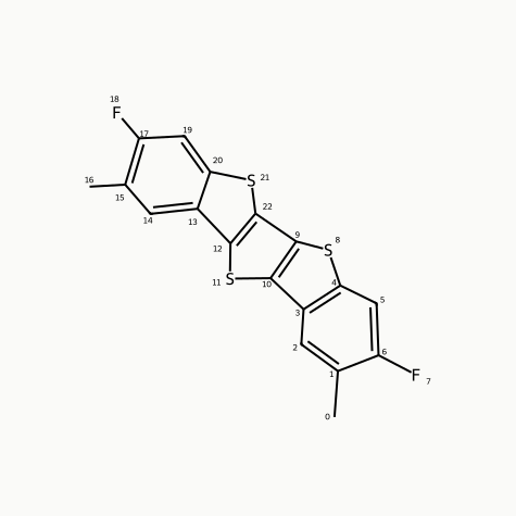 Cc1cc2c(cc1F)sc1c2sc2c3cc(C)c(F)cc3sc21